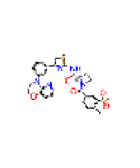 Cc1ccc(C(=O)N2CC[C@H]2C(=O)Nc2nc(-c3cccc(N4CCOc5cccnc54)c3)cs2)cc1S(C)(=O)=O